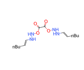 CCCCC=CNNOC(=O)C(=O)ONNC=CCCCC